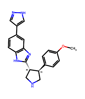 COc1ccc([C@H]2CNC[C@@H]2c2nc3cc(-c4cn[nH]c4)ccc3[nH]2)cc1